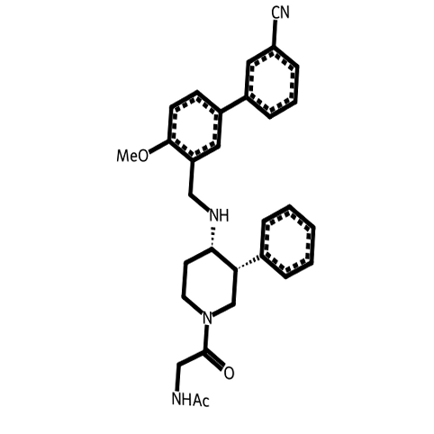 COc1ccc(-c2cccc(C#N)c2)cc1CN[C@H]1CCN(C(=O)CNC(C)=O)C[C@H]1c1ccccc1